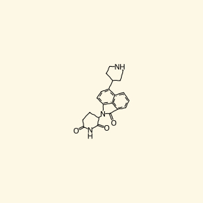 O=C1CCC(N2C(=O)c3cccc4c(C5CCNCC5)ccc2c34)C(=O)N1